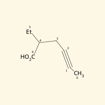 CC#CCC(CC)C(=O)O